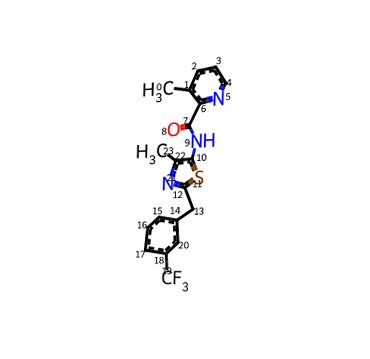 Cc1cccnc1C(=O)Nc1sc(Cc2cccc(C(F)(F)F)c2)nc1C